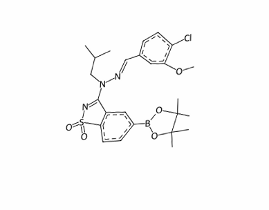 COc1cc(/C=N/N(CC(C)C)C2=NS(=O)(=O)c3ccc(B4OC(C)(C)C(C)(C)O4)cc32)ccc1Cl